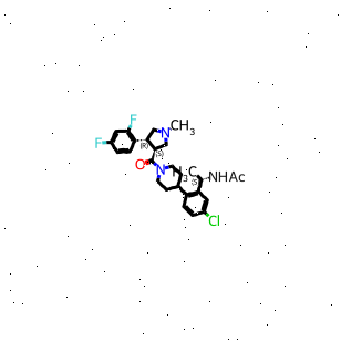 CC(=O)N[C@@H](C)c1cc(Cl)ccc1C1CCN(C(=O)[C@@H]2CN(C)C[C@H]2c2ccc(F)cc2F)CC1